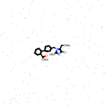 CCCCc1nc(Cl)c(COC)n1Cc1ccc(-c2ccccc2C(=O)OC)cc1